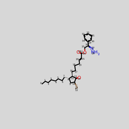 CCCCCCCC[C@H]1CC(SC)C(=O)[C@@H]1CCCCC=CC(=O)OCC(=NN)c1ccccc1